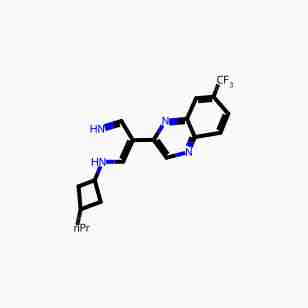 CCCC1CC(N/C=C(\C=N)c2cnc3ccc(C(F)(F)F)cc3n2)C1